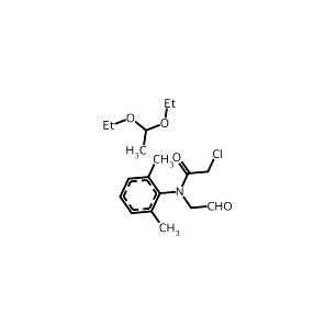 CCOC(C)OCC.Cc1cccc(C)c1N(CC=O)C(=O)CCl